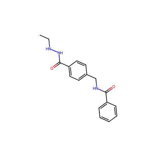 CCNNC(=O)c1ccc(CNC(=O)c2ccccc2)cc1